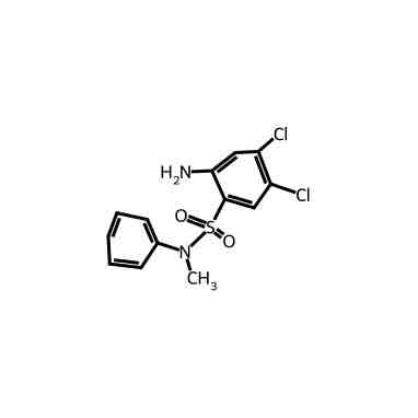 CN(c1ccccc1)S(=O)(=O)c1cc(Cl)c(Cl)cc1N